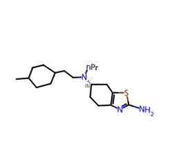 CCCN(CCC1CCC(C)CC1)[C@H]1CCc2nc(N)sc2C1